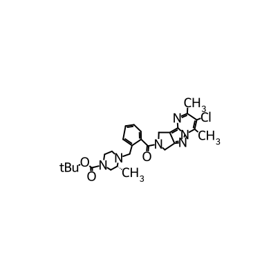 Cc1nc2c3c(nn2c(C)c1Cl)CN(C(=O)c1ccccc1CN1CCN(C(=O)OC(C)(C)C)C[C@H]1C)C3